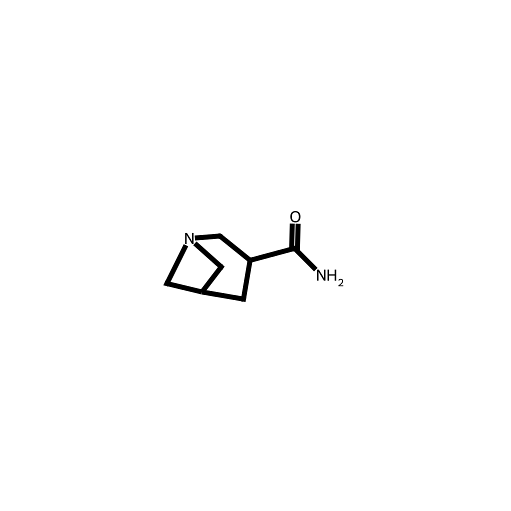 NC(=O)C1CC2CN(C2)C1